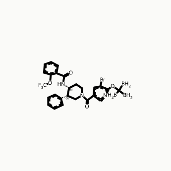 BC(B)(B)Oc1ncc(C(=O)N2CC[C@@H](NC(=O)c3ccccc3OC(F)(F)F)[C@@H](c3ccccc3)C2)cc1Br